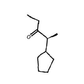 CCC(=O)[C@@H](C)C1CCCC1